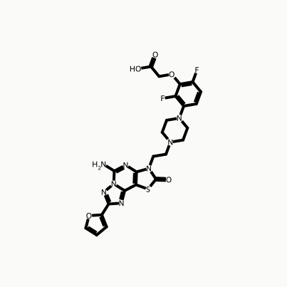 Nc1nc2c(sc(=O)n2CCN2CCN(c3ccc(F)c(OCC(=O)O)c3F)CC2)c2nc(-c3ccco3)nn12